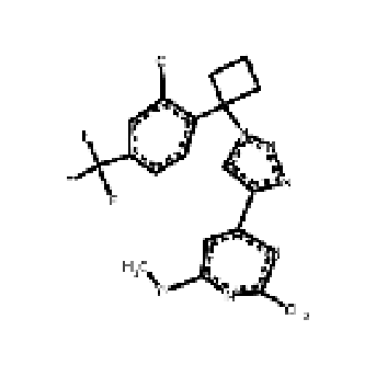 COc1cc(-c2cn(C3(c4ccc(C(F)(F)F)cc4Cl)CCC3)nn2)nc(C)n1